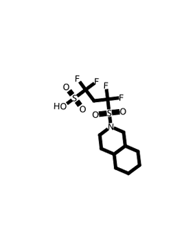 O=S(=O)(O)C(F)(F)CC(F)(F)S(=O)(=O)N1CCC2CCCCC2C1